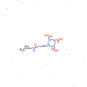 CC(C)CCCCNC(=O)CCCCCNCN1CCN(CC(=O)O)CCN(CC(=O)O)CCN(CC(=O)O)CC1